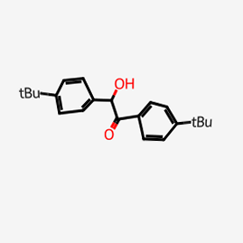 CC(C)(C)c1ccc(C(=O)C(O)c2ccc(C(C)(C)C)cc2)cc1